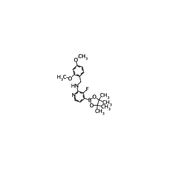 COc1ccc(CNc2nccc(B3OC(C)(C)C(C)(C)O3)c2F)c(OC)c1